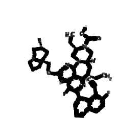 C#Cc1c(F)ccc2cccc(-c3nc4c5c(nc(OC[C@@]67CCCN6C[C@H](F)C7)nc5c3F)N3C[C@@H](CC)N(C(=O)OI)C[C@H]3C[C@@H]4CC)c12